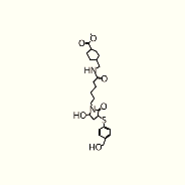 COC(=O)C1CCC(CNC(=O)CCCCCN2C(=O)C(Sc3ccc(CO)cc3)CC2O)CC1